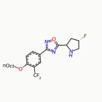 CCCCCCCCOc1ccc(-c2noc(C3C[C@H](F)CN3)n2)cc1C(F)(F)F